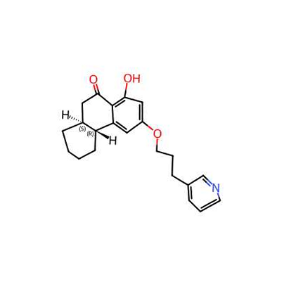 O=C1C[C@@H]2CCCC[C@H]2c2cc(OCCCc3cccnc3)cc(O)c21